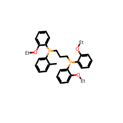 CCOc1ccccc1P(CCCP(c1ccccc1OCC)c1ccccc1OCC)c1ccccc1C